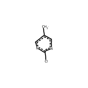 [CH2]c1cnc(Cl)nc1